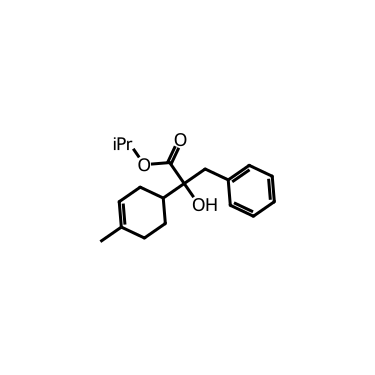 CC1=CCC(C(O)(Cc2ccccc2)C(=O)OC(C)C)CC1